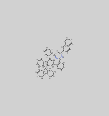 c1ccc(-c2nc(-c3ccc4ccccc4c3)cc(-c3ccccc3-c3ccc4c(c3)C3(c5ccccc5-c5ccccc53)c3ccccc3-4)n2)cc1